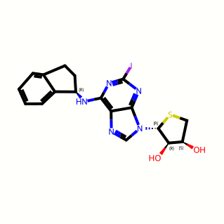 O[C@@H]1[C@H](O)CS[C@H]1n1cnc2c(N[C@@H]3CCc4ccccc43)nc(I)nc21